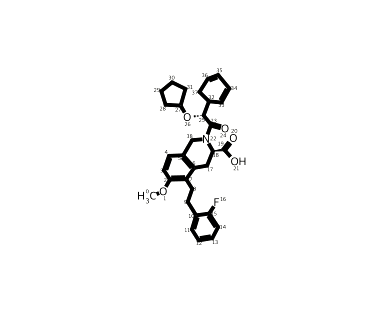 COc1ccc2c(c1CCc1ccccc1F)C[C@H](C(=O)O)N(C(=O)[C@H](OC1CCCC1)C1C=CC=CC1)C2